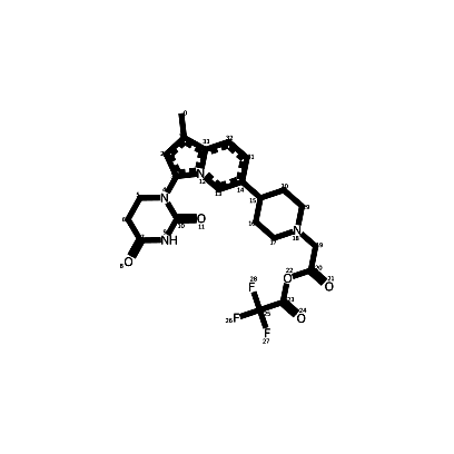 Cc1cc(N2CCC(=O)NC2=O)n2cc(C3CCN(CC(=O)OC(=O)C(F)(F)F)CC3)ccc12